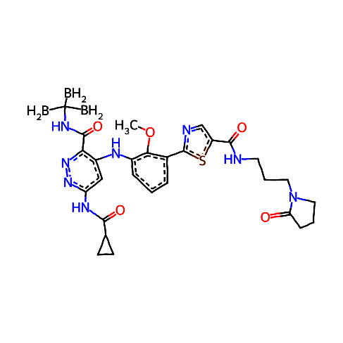 BC(B)(B)NC(=O)c1nnc(NC(=O)C2CC2)cc1Nc1cccc(-c2ncc(C(=O)NCCCN3CCCC3=O)s2)c1OC